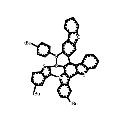 CC(C)(C)c1ccc(N2B3c4sc5ccc(C(C)(C)C)cc5c4-n4c5ccc(C(C)(C)C)cc5c5c6sc7ccccc7c6c(c3c54)-c3cc4oc5ccccc5c4cc32)cc1